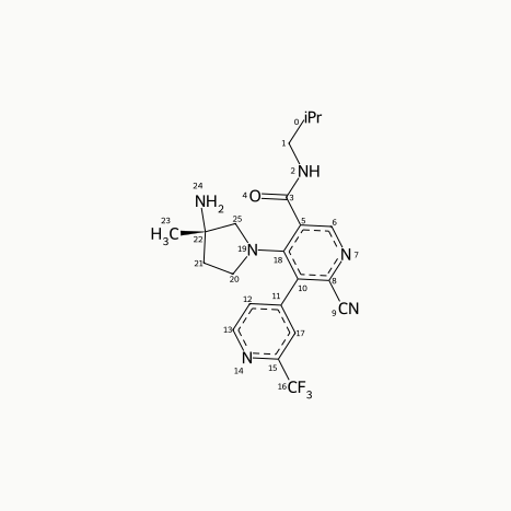 CC(C)CNC(=O)c1cnc(C#N)c(-c2ccnc(C(F)(F)F)c2)c1N1CC[C@](C)(N)C1